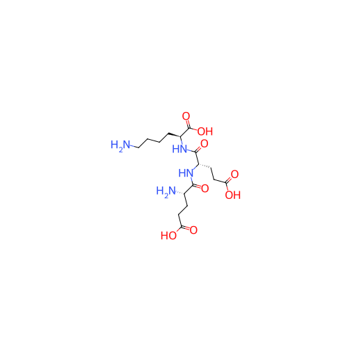 NCCCC[C@H](NC(=O)[C@H](CCC(=O)O)NC(=O)[C@@H](N)CCC(=O)O)C(=O)O